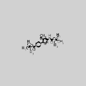 COc1cc(NC(=O)OC(C)(C)C)nnc1C1CCN(C(=O)OC(C)(C)C)CC1